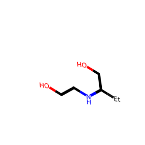 CCC(CO)NCCO